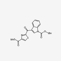 CSC(=O)c1csc(C(=O)c2cn(C(=O)OC(C)(C)C)c3ccccc23)n1